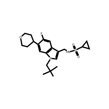 CC(C)(C)Cn1cc(CNS(=O)(=O)C2CC2)c2cc(F)c(C3CCOCC3)cc21